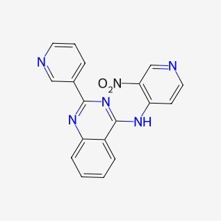 O=[N+]([O-])c1cnccc1Nc1nc(-c2cccnc2)nc2ccccc12